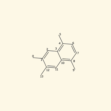 Cc1cc2c(C)ccc(C)c2cc1C